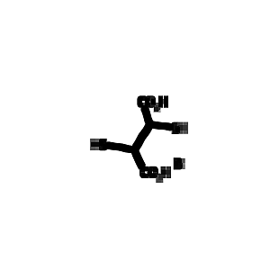 O=C(O)C(S)C(S)C(=O)O.[B]